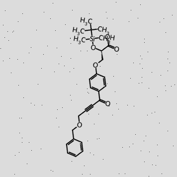 CC(C)(C)[Si](C)(C)O[C@H](COc1ccc(C(=O)C#CCOCc2ccccc2)cc1)C(=O)O